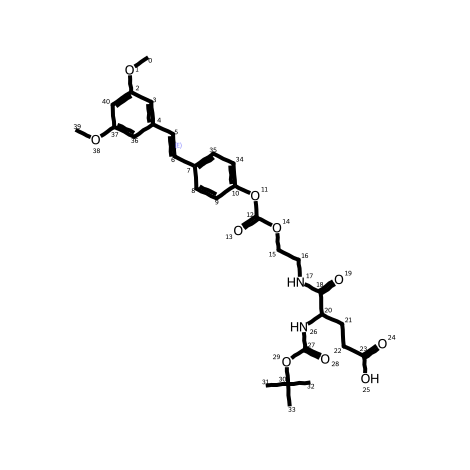 COc1cc(/C=C/c2ccc(OC(=O)OCCNC(=O)C(CCC(=O)O)NC(=O)OC(C)(C)C)cc2)cc(OC)c1